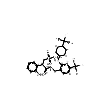 Nc1ccccc1C(CS(=O)(=O)O)C(=O)NCc1ccc(C(F)(F)F)nc1OC1CCC(C(F)(F)F)CC1